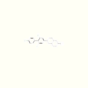 CCC1CCC2CC(c3cc(F)c(-c4ccc(F)cc4)c(F)c3)CCC2C1